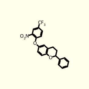 O=[N+]([O-])c1cc(C(F)(F)F)ccc1Oc1ccc2c(c1)CCC(c1ccccc1)O2